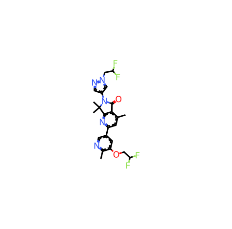 Cc1cc(-c2cnc(C)c(OCC(F)F)c2)nc2c1C(=O)N(c1cnn(CC(F)F)c1)C2(C)C